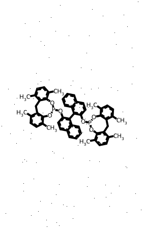 Cc1ccc(C)c2c1Cc1c(C)ccc(C)c1OP(Oc1ccc3ccccc3c1-c1c(OP3Oc4c(C)ccc(C)c4Cc4c(C)ccc(C)c4O3)ccc3ccccc13)O2